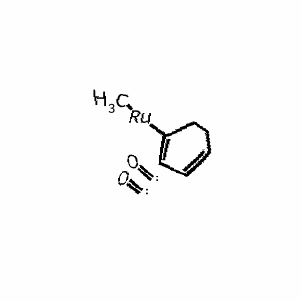 [CH3][Ru][C]1=CC=CC1.[C]=O.[C]=O